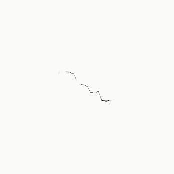 CC(C)CCCCSCC(C)C